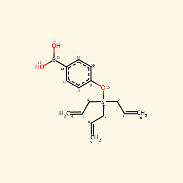 C=CC[Si](CC=C)(CC=C)Oc1ccc(B(O)O)cc1